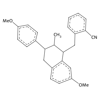 COc1ccc(C2Cc3ccc(OC)cc3C(Cc3ccccc3C#N)C2C)cc1